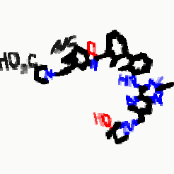 Cc1nc(Nc2cccc(-c3cccc(-c4nc5cc(CN6CCC(C(=O)O)C6)cc(C#N)c5o4)c3C)c2C)c2ncc(CN3CCC(C)(O)C3)cc2n1